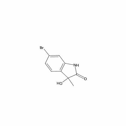 CC1(O)C(=O)Nc2cc(Br)ccc21